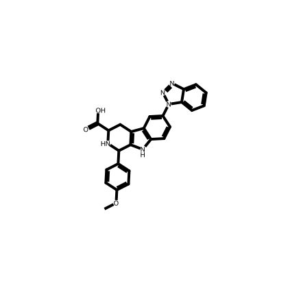 COc1ccc(C2NC(C(=O)O)Cc3c2[nH]c2ccc(-n4nnc5ccccc54)cc32)cc1